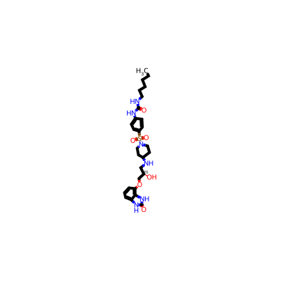 CCCCCCNC(=O)Nc1ccc(S(=O)(=O)N2CCC(NC[C@H](O)COc3cccc4[nH]c(=O)[nH]c34)CC2)cc1